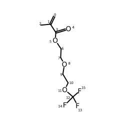 C=C(C)C(=O)OCCOCCOC(F)(F)F